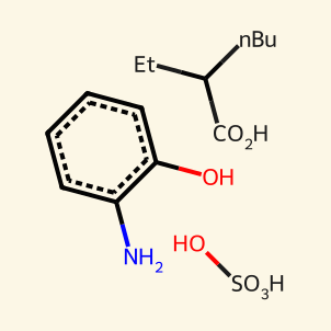 CCCCC(CC)C(=O)O.Nc1ccccc1O.O=S(=O)(O)O